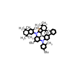 Cc1cc(C(C)(C)C)ccc1N1c2ccc(-c3ccccc3)cc2B2c3c1cc(C(C)(C)C)cc3N(c1cc3c(cc1C)C(C)(C)CCC3(C)C)c1sc3c(c12)C(C)(C)CCC3(C)C